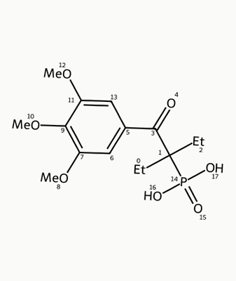 CCC(CC)(C(=O)c1cc(OC)c(OC)c(OC)c1)P(=O)(O)O